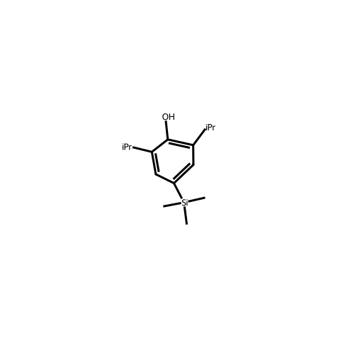 CC(C)c1cc([Si](C)(C)C)cc(C(C)C)c1O